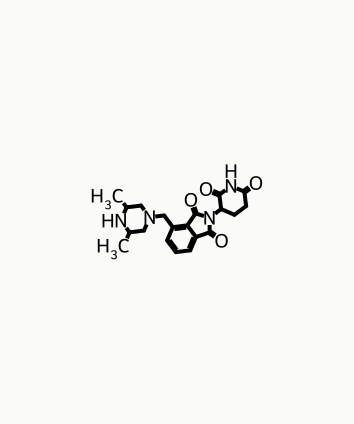 CC1CN(Cc2cccc3c2C(=O)N(C2CCC(=O)NC2=O)C3=O)CC(C)N1